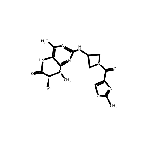 Cc1nc(C(=O)N2CC(Nc3nc(C)c4c(n3)N(C)[C@@H](C(C)C)C(=O)N4)C2)co1